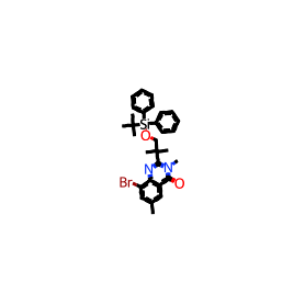 Cc1cc(Br)c2nc(C(C)(C)CO[Si](c3ccccc3)(c3ccccc3)C(C)(C)C)n(C)c(=O)c2c1